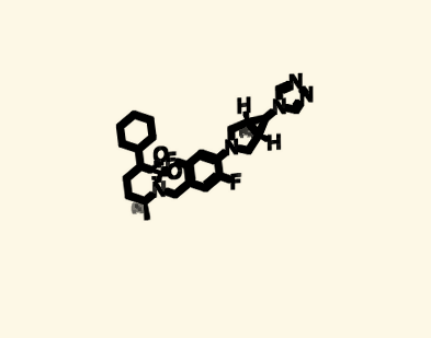 C[C@H]1CCC(C2CCCCC2)S(=O)(=O)N1Cc1cc(F)c(N2C[C@@H]3C(n4cnnc4)[C@@H]3C2)cc1F